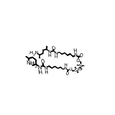 CC(N)CCC(C)NC(=O)NCCCCCCNC(=O)OC[Si](C)(C)O[Si](C)(C)COC(=O)NCCCCCCNC(=O)NC(C)CCC(C)N